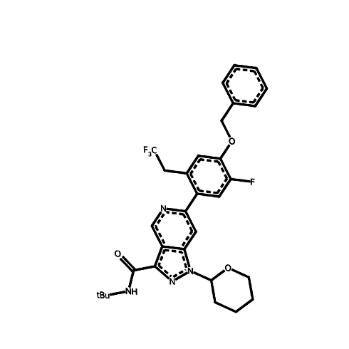 CC(C)(C)NC(=O)c1nn(C2CCCCO2)c2cc(-c3cc(F)c(OCc4ccccc4)cc3CC(F)(F)F)ncc12